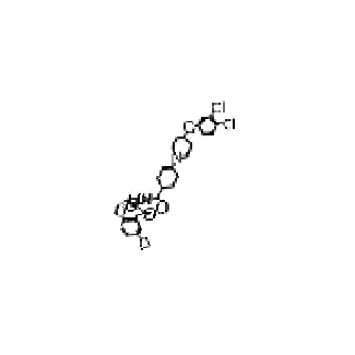 COc1ccc(OC)c(S(=O)(=O)NC(=O)C2CCC(N3CCC(Oc4ccc(Cl)c(Cl)c4)CC3)CC2)c1